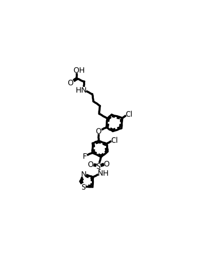 O=C(O)CNCCCCc1cc(Cl)ccc1Oc1cc(F)c(S(=O)(=O)Nc2cscn2)cc1Cl